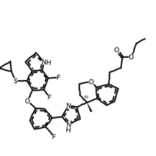 CCOC(=O)CCc1cccc2c1OCC[C@@]2(C)c1c[nH]c(-c2cc(Oc3c(F)c(F)c4[nH]ccc4c3SC3CC3)ccc2F)n1